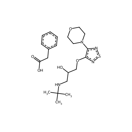 CC(C)(C)NCC(O)COc1nsnc1N1CCOCC1.O=C(O)Cc1ccccc1